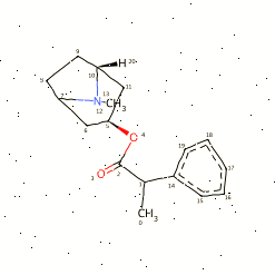 CC(C(=O)O[C@H]1CC2CC[C@H](C1)N2C)c1ccccc1